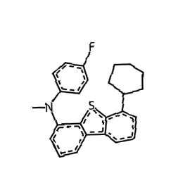 CN(c1ccc(F)cc1)c1cccc2c1sc1c(C3CCCCC3)cccc12